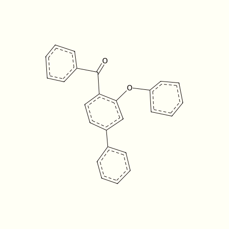 O=C(c1ccccc1)c1ccc(-c2ccccc2)cc1Oc1ccccc1